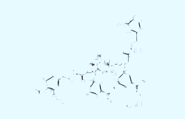 COc1ccc(CCNC(=O)CN(CS(=O)(=O)OC(N(CC(=O)NCCc2ccc(OC)c(OC)c2)c2cccc(C(N)=O)c2)S(=O)(=O)O)c2cccc(C(N)=O)c2)cc1OC.[CaH2]